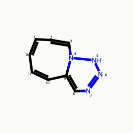 c1cccn2[nH]nncc-2cc1